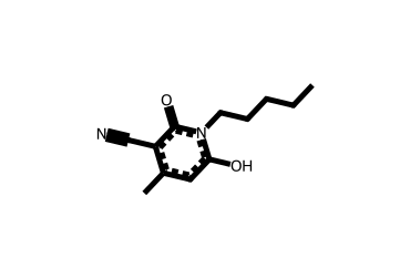 CCCCCn1c(O)cc(C)c(C#N)c1=O